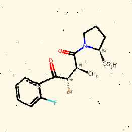 C[C@H](C(=O)N1CCC[C@H]1C(=O)O)[C@H](Br)C(=O)c1ccccc1F